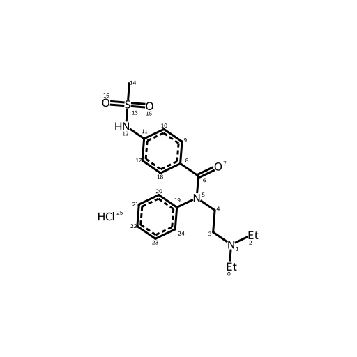 CCN(CC)CCN(C(=O)c1ccc(NS(C)(=O)=O)cc1)c1ccccc1.Cl